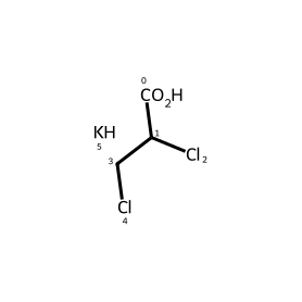 O=C(O)C(Cl)CCl.[KH]